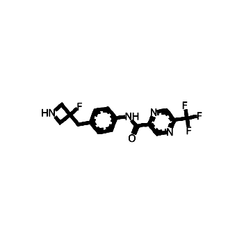 O=C(Nc1ccc(CC2(F)CNC2)cc1)c1cnc(C(F)(F)F)cn1